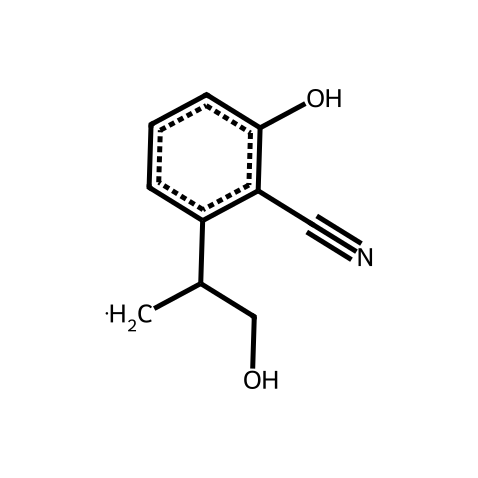 [CH2]C(CO)c1cccc(O)c1C#N